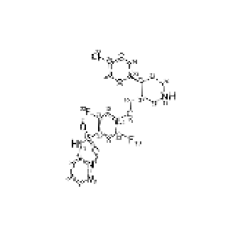 O=S(=O)(Nc1cccnn1)c1cc(F)c(OC[C@H]2CNCC[C@@H]2c2ccc(Cl)cc2)cc1F